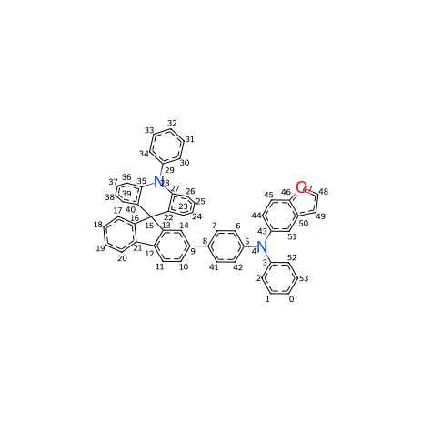 c1ccc(N(c2ccc(-c3ccc4c(c3)C3(c5ccccc5-4)c4ccccc4N(c4ccccc4)c4ccccc43)cc2)c2ccc3occc3c2)cc1